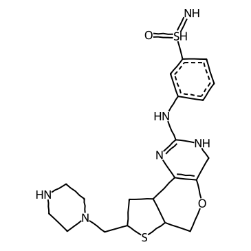 N=[SH](=O)c1cccc(NC2=NC3=C(CN2)OCC2SC(CN4CCNCC4)CC32)c1